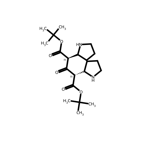 CC(C)(C)OC(=O)[C@H](C(=O)[C@@H](C(=O)OC(C)(C)C)C1CCCN1)C1CCCN1